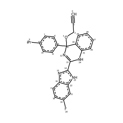 C#CCOC1(c2ccc(C(C)C)cc2)N=C(c2nc3ccc(F)cc3[nH]2)Nc2ccccc21